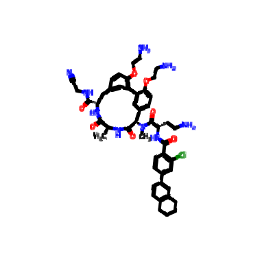 C[C@@H]1NC(=O)[C@@H](N(C)C(=O)[C@H](CCN)NC(=O)c2ccc(-c3ccc4c(c3)CCCC4)cc2Cl)c2ccc(OCCN)c(c2)-c2cc(ccc2OCCN)C[C@@H](C(=O)NCC#N)NC1=O